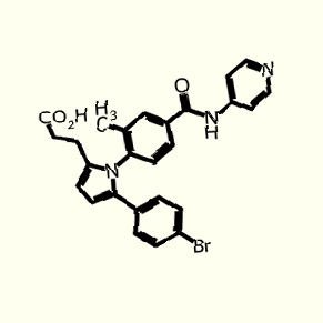 Cc1cc(C(=O)Nc2ccncc2)ccc1-n1c(CCC(=O)O)ccc1-c1ccc(Br)cc1